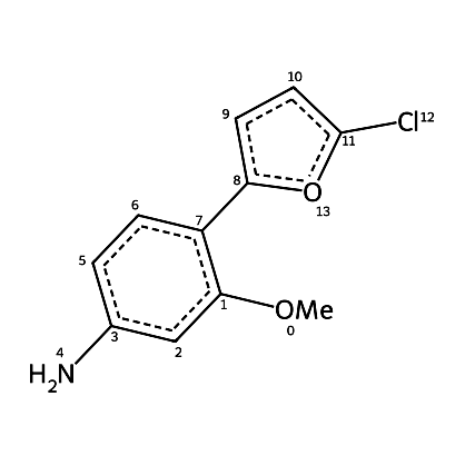 COc1cc(N)ccc1-c1ccc(Cl)o1